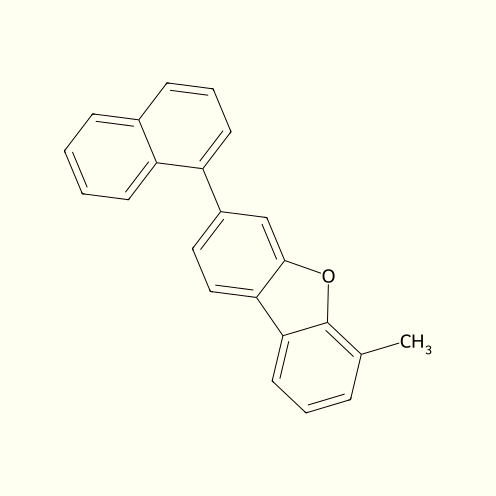 Cc1cccc2c1oc1cc(-c3cccc4ccccc34)ccc12